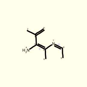 C=C(C)/C(N)=C(C)\N=C/C